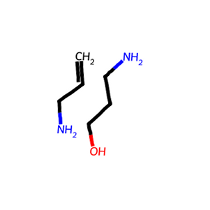 C=CCN.NCCCO